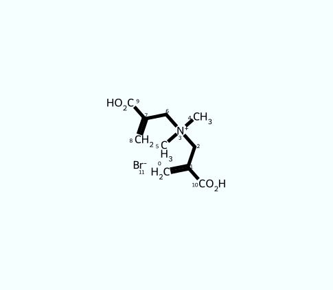 C=C(C[N+](C)(C)CC(=C)C(=O)O)C(=O)O.[Br-]